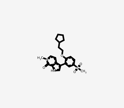 Cn1ccc2c(-c3cc(S(C)(=O)=O)ccc3OCCC3CCCC3)c[nH]c2c1=O